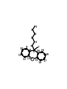 CCCCCCC1(C)c2ccccc2Oc2ccccc21